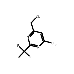 CC(F)(F)c1nc(CC#N)cc(C(F)(F)F)n1